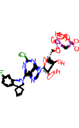 O=P(O)(O)CP(=O)(O)OC[C@H]1O[C@@H](n2cnc3c(N4CC5(CCCC5)c5ccc(F)cc54)nc(Cl)nc32)[C@@H](O)C1O